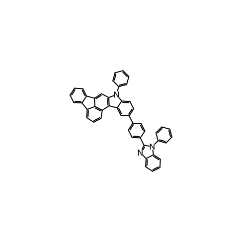 c1ccc(-n2c(-c3ccc(-c4ccc5c(c4)c4c6cccc7c6c(cc4n5-c4ccccc4)-c4ccccc4-7)cc3)nc3ccccc32)cc1